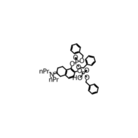 CCCN(CCC)[C@H]1CCc2c(ccc(OP(=O)(O)OCc3ccccc3)c2OP(=O)(OCc2ccccc2)OCc2ccccc2)C1